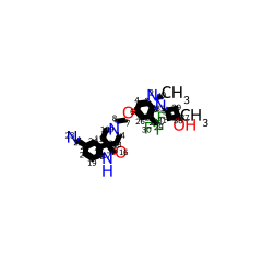 Cc1nc2cc(OCCN3CCC4(CC3)C(=O)Nc3ccc(C#N)cc34)cc(C(F)(F)F)c2n1C1CC(C)(O)C1